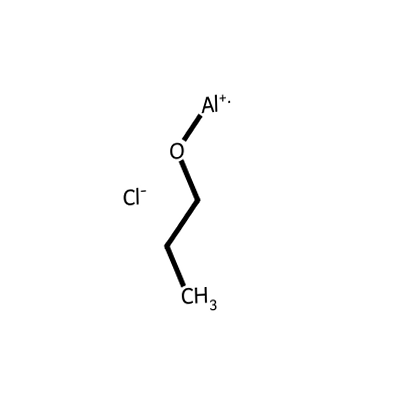 CCC[O][Al+].[Cl-]